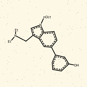 CCCCCCCCn1cc(CN(CC)CC)c2cc(-c3cccc(O)c3)ccc21